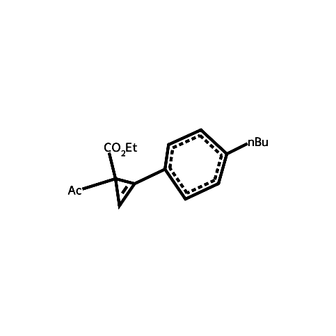 CCCCc1ccc(C2=CC2(C(C)=O)C(=O)OCC)cc1